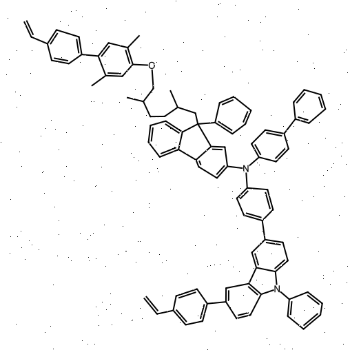 C=Cc1ccc(-c2ccc3c(c2)c2cc(-c4ccc(N(c5ccc(-c6ccccc6)cc5)c5ccc6c(c5)C(CC(C)CCC(C)COc5cc(C)c(-c7ccc(C=C)cc7)cc5C)(c5ccccc5)c5ccccc5-6)cc4)ccc2n3-c2ccccc2)cc1